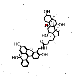 C[C@H](CCC(=O)NCc1c(O)ccc2c1OC1=CC(O)C=CC1=C2c1ccccc1C(=O)O)[C@H]1CC[C@H]2[C@@H]3[C@H](O)C[C@@H]4C[C@H](O)CC[C@]4(C)[C@H]3C[C@H](O)[C@]12C